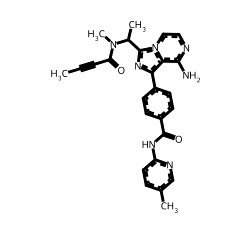 CC#CC(=O)N(C)C(C)c1nc(-c2ccc(C(=O)Nc3ccc(C)cn3)cc2)c2c(N)nccn12